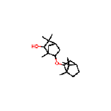 CC1(C)C2CC(OC3CC4CCC3(C)C4(C)C)C(C)(C2)C1O